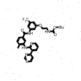 Cc1ccc(C(=O)Nc2cc(OCCNC(=O)OC(C)(C)C)cc(C(F)(F)F)c2)cc1Nc1ncccc1-c1ccncn1